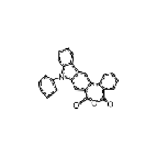 O=c1oc(=O)c2cc3c(cc2c2ccccc12)c1ccccc1n3-c1ccccc1